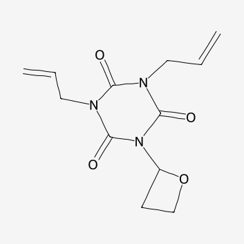 C=CCn1c(=O)n(CC=C)c(=O)n(C2CCO2)c1=O